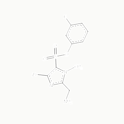 CC(C)c1nc(CN)n(C)c1S(=O)(=O)Oc1cccc(F)c1